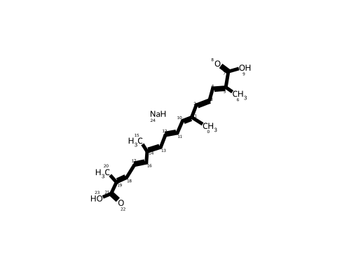 CC(/C=C/C=C(\C)C(=O)O)=C\C=C\C=C(C)\C=C\C=C(/C)C(=O)O.[NaH]